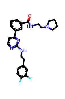 O=C(NCCN1CCCC1)c1cccc(-c2ccnc(NCCc3ccc(F)c(F)c3)n2)c1